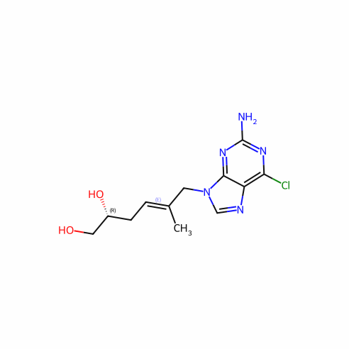 C/C(=C\C[C@@H](O)CO)Cn1cnc2c(Cl)nc(N)nc21